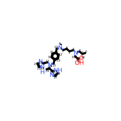 CCCN(CCCCN(C)Cc1ccc(CN(Cc2ncc[nH]2)C(C)c2ncc[nH]2)cc1)CC(=O)O